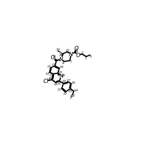 CCCOC(=O)N1CCN(C(=O)c2ccc3c(Cl)cc(-c4ccc(CF)cc4)nc3c2)[C@@H](C)C1